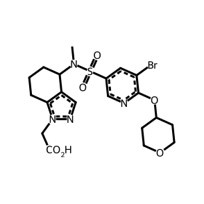 CN(C1CCCc2c1cnn2CC(=O)O)S(=O)(=O)c1cnc(OC2CCOCC2)c(Br)c1